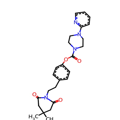 CC1(C)CC(=O)N(CCc2ccc(OC(=O)N3CCN(c4ccccn4)CC3)cc2)C(=O)C1